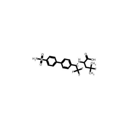 CC(C)(F)CC(N[C@@H](c1ccc(-c2ccc(S(N)(=O)=O)cc2)cc1)C(F)(F)F)C(=O)O